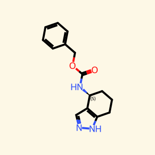 O=C(N[C@H]1CCCc2[nH]ncc21)OCc1ccccc1